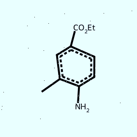 CCOC(=O)c1ccc(N)c(C)c1